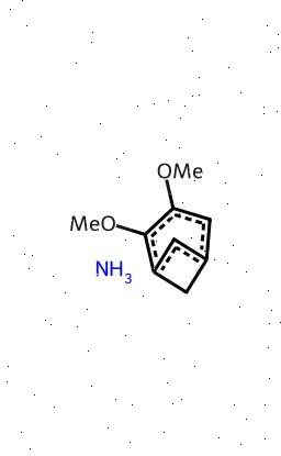 COc1cc2cc(c1OC)C2.N